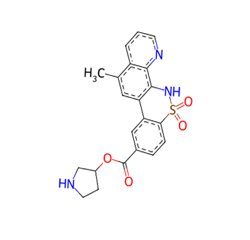 Cc1cc2c(c3ncccc13)NS(=O)(=O)c1ccc(C(=O)OC3CCNC3)cc1-2